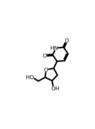 O=C1C=CC(C2CC(O)C(CO)O2)C(=O)N1